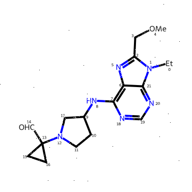 CCn1c(COC)nc2c(NC3CCN(C4(C=O)CC4)C3)ncnc21